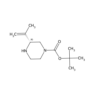 C=C(C)[C@@H]1CN(C(=O)OC(C)(C)C)CCN1